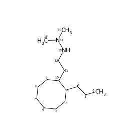 CCCC1CCCCCCC1CCNN(C)C